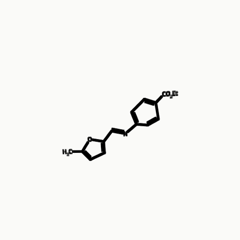 CCOC(=O)c1ccc(/N=C/c2ccc(C)o2)cc1